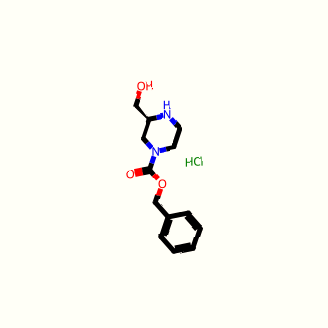 Cl.O=C(OCc1ccccc1)N1CCN[C@H](CO)C1